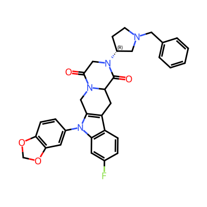 O=C1CN([C@@H]2CCN(Cc3ccccc3)C2)C(=O)C2Cc3c(n(-c4ccc5c(c4)OCO5)c4cc(F)ccc34)CN12